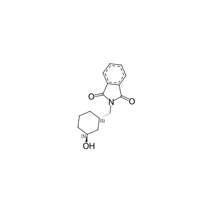 O=C1c2ccccc2C(=O)N1C[C@H]1CCC[C@H](O)C1